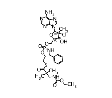 CCOC(=O)NCC(C)(C)C(=O)SCCOP(=O)(NCc1ccccc1)OC[C@H]1O[C@@H](n2cnc3c(N)ncnc32)[C@](C)(Cl)[C@@H]1O